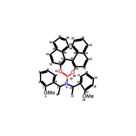 COc1ccccc1C(C)N(C(C)c1ccccc1OC)p1oc2ccc3ccccc3c2c2c(ccc3ccccc32)o1